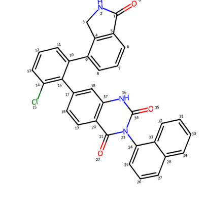 O=C1NCc2c1cccc2-c1cccc(Cl)c1-c1ccc2c(=O)n(-c3cccc4ccccc34)c(=O)[nH]c2c1